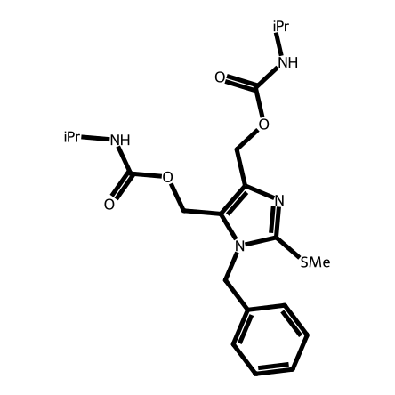 CSc1nc(COC(=O)NC(C)C)c(COC(=O)NC(C)C)n1Cc1ccccc1